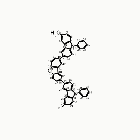 Cc1ccc2c(c1)c1cc(-c3ccc4oc5ccc(-c6ccc7c(c6)c6cc(I)ccc6n7-c6ccccc6)cc5c4c3)ccc1n2-c1ccccc1